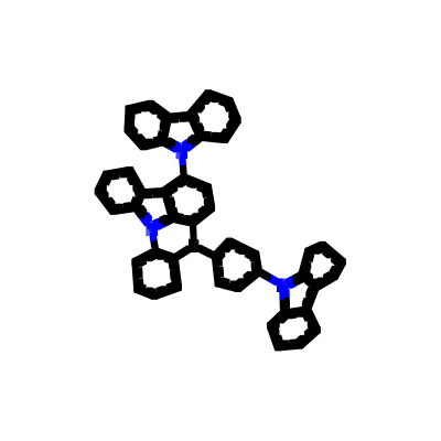 c1ccc2c(c1)B(c1ccc(-n3c4ccccc4c4ccccc43)cc1)c1ccc(-n3c4ccccc4c4ccccc43)c3c4ccccc4n-2c13